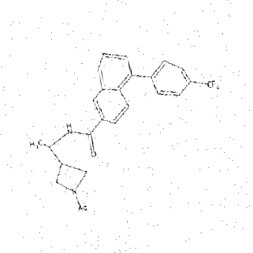 CC(=O)N1CC(C(C)NC(=O)c2ccc3c(-c4ccc(C(F)(F)F)cc4)cccc3c2)C1